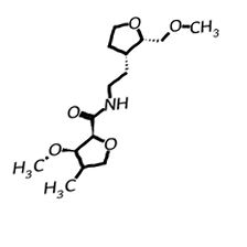 COC[C@H]1OCC[C@H]1CCNC(=O)[C@H]1OCC(C)[C@H]1OC